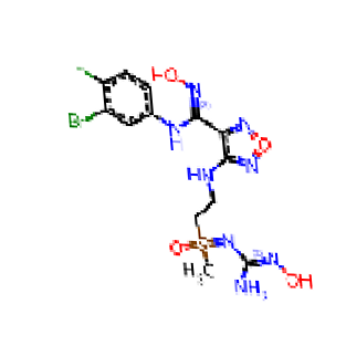 CS(=O)(CCNc1nonc1/C(=N/O)Nc1ccc(F)c(Br)c1)=N/C(N)=N/O